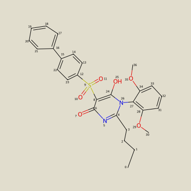 CCCCc1nc(=O)c(S(=O)(=O)c2ccc(-c3ccccc3)cc2)c(O)n1-c1c(OC)cccc1OC